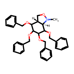 CN1OC[C@H]2C(OCc3ccccc3)C(OCc3ccccc3)C(OCc3ccccc3)C(OCc3ccccc3)[C@@H]21